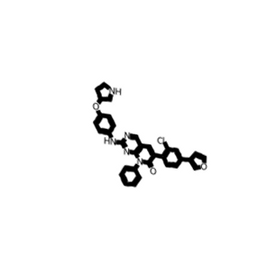 O=c1c(-c2ccc(-c3ccoc3)cc2Cl)cc2cnc(Nc3ccc(OC4CCNC4)cc3)nc2n1-c1ccccc1